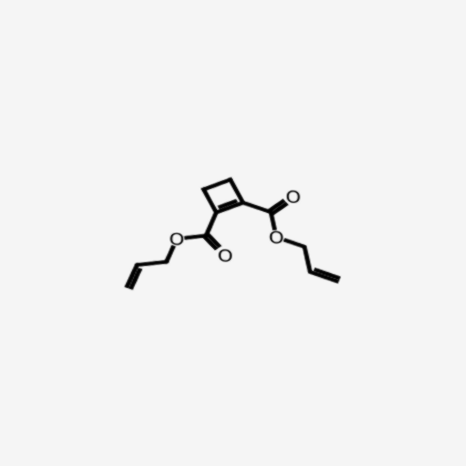 C=CCOC(=O)C1=C(C(=O)OCC=C)CC1